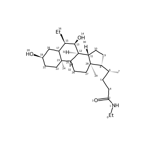 CCNC(=O)CC[C@@H](C)[C@H]1CC[C@H]2[C@@H]3[C@H](O)[C@H](CC)C4C[C@H](O)CC[C@]4(C)[C@H]3CC[C@]12C